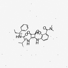 CC[C@H](NC(=O)[C@H](Nc1c(Nc2cccc(C(=O)N(C)C)c2O)c(=O)c1=O)C(C)C)c1ccccc1